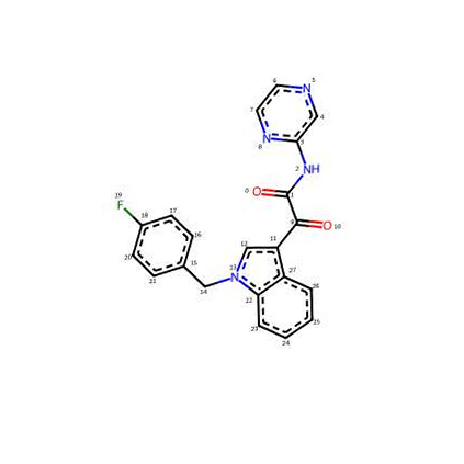 O=C(Nc1cnccn1)C(=O)c1cn(Cc2ccc(F)cc2)c2ccccc12